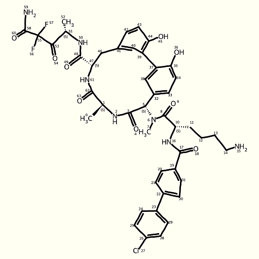 C[C@@H]1NC(=O)[C@@H](N(C)C(=O)[C@H](CCCCN)NC(=O)c2ccc(-c3ccc(Cl)cc3)cc2)c2ccc(O)c(c2)-c2cc(ccc2O)C[C@@H](C(=O)N[C@@H](C)C(=O)C(F)(F)C(N)=O)NC1=O